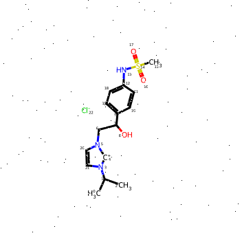 CC(C)N1[C+]N(CC(O)c2ccc(NS(C)(=O)=O)cc2)C=C1.[Cl-]